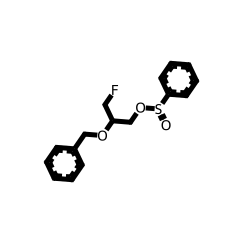 O=S(OCC(CF)OCc1ccccc1)c1ccccc1